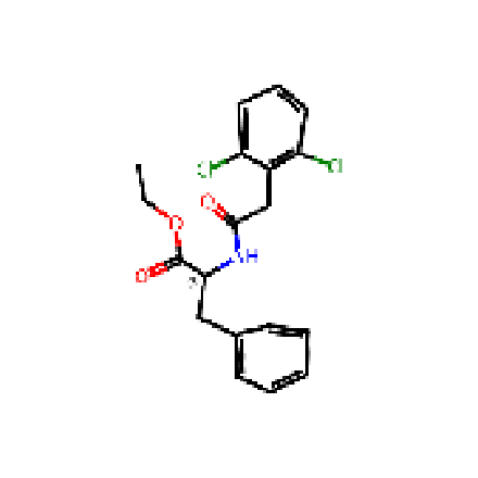 CCOC(=O)[C@H](Cc1ccccc1)NC(=O)Cc1c(Cl)cccc1Cl